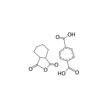 O=C(O)c1ccc(C(=O)O)cc1.O=C1OC(=O)C2CCCCC12